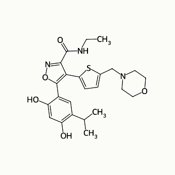 CCNC(=O)c1noc(-c2cc(C(C)C)c(O)cc2O)c1-c1ccc(CN2CCOCC2)s1